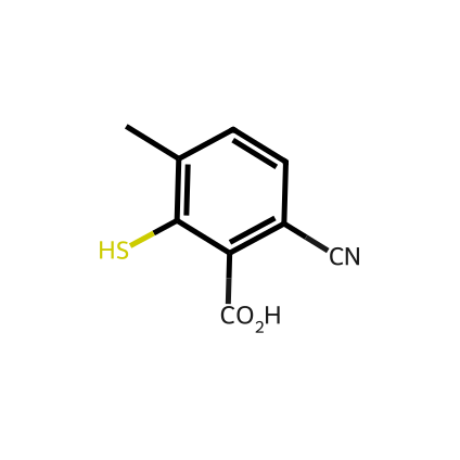 Cc1ccc(C#N)c(C(=O)O)c1S